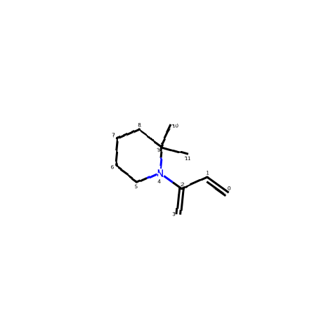 C=CC(=C)N1CCCCC1(C)C